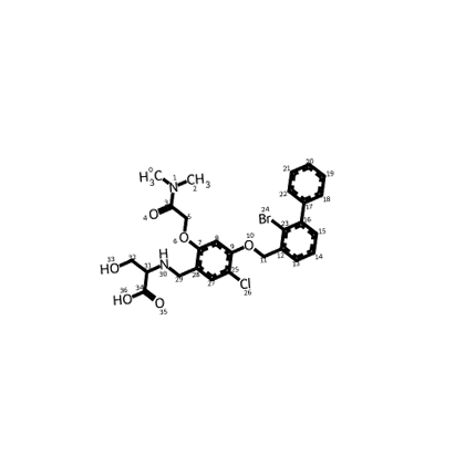 CN(C)C(=O)COc1cc(OCc2cccc(-c3ccccc3)c2Br)c(Cl)cc1CNC(CO)C(=O)O